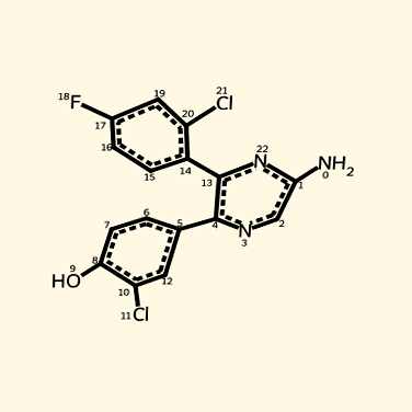 Nc1cnc(-c2ccc(O)c(Cl)c2)c(-c2ccc(F)cc2Cl)n1